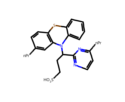 CCCc1ccc2c(c1)N(C(CCS(=O)(=O)O)c1nccc(CCC)n1)c1ccccc1S2